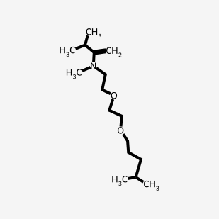 C=C(C(C)C)N(C)CCOCCOCCCC(C)C